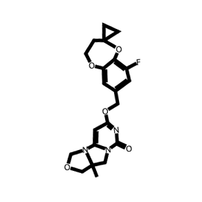 CC12COCN1c1cc(OCc3cc(F)c4c(c3)OCCC3(CC3)O4)nc(=O)n1C2